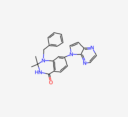 CC1(C)NC(=O)c2ccc(-n3ccc4nccnc43)cc2N1Cc1ccccc1